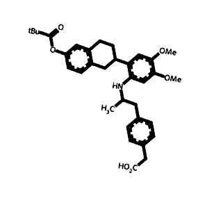 COc1cc(NC(C)Cc2ccc(CC(=O)O)cc2)c(C2CCc3cc(OC(=O)C(C)(C)C)ccc3C2)cc1OC